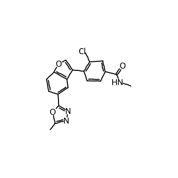 CNC(=O)c1ccc(-c2coc3ccc(-c4nnc(C)o4)cc23)c(Cl)c1